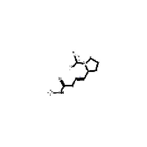 CNC(=O)C/C=C/C1CCCN1C(C)C